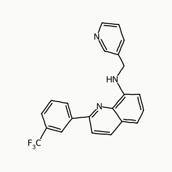 FC(F)(F)c1cccc(-c2ccc3cccc(NCc4cccnc4)c3n2)c1